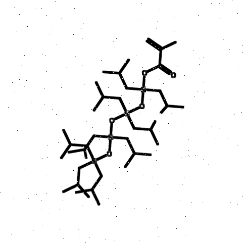 C=C(C)C(=O)O[Si](CC(C)C)(CC(C)C)O[Si](CC(C)C)(CC(C)C)O[Si](CC(C)C)(CC(C)C)O[Si](CC(C)C)(CC(C)C)CC(C)C